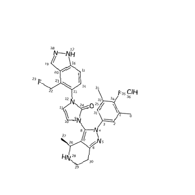 Cc1cc(-n2nc3c(c2-n2ccn(-c4ccc5[nH]ncc5c4CF)c2=O)[C@H](C)NCC3)cc(C)c1F.Cl